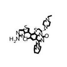 CCN1CCN(C[C@H]2CSc3c(-c4csc5cnc(N)nc45)c(Cl)cc4c(N5CC6CCC(C5)N6)nc(=O)n2c34)CC1